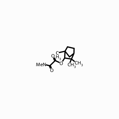 CNC(=O)C(=O)OC1C2(C)CCC(C2)C1(C)C